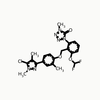 Cc1cc(-c2nn(C)c(Cl)c2C)ccc1OCc1c(OC(F)F)cccc1-n1nnn(C)c1=O